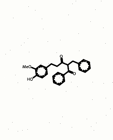 COc1cc(CCC(=O)C(Cc2ccccc2)C(=O)c2ccccc2)ccc1O